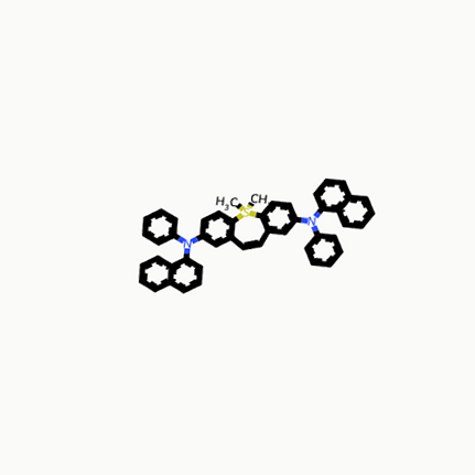 CS1(C)c2ccc(N(c3ccccc3)c3cccc4ccccc34)cc2C=Cc2cc(N(c3ccccc3)c3cccc4ccccc34)ccc21